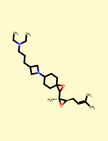 CCN(CC)CCCC1CN(C2CCC3(CC2)OC3[C@]2(C)O[C@@H]2CC=C(C)C)C1